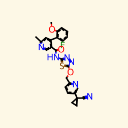 COc1cccc(F)c1-c1cc(C)ncc1C(=O)Nc1nnc(OCc2ccc(C3(C#N)CC3)cn2)s1